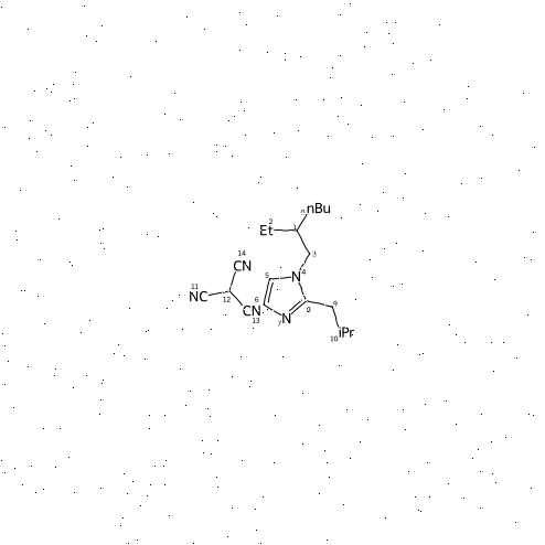 CCCCC(CC)Cn1ccnc1CC(C)C.N#CC(C#N)C#N